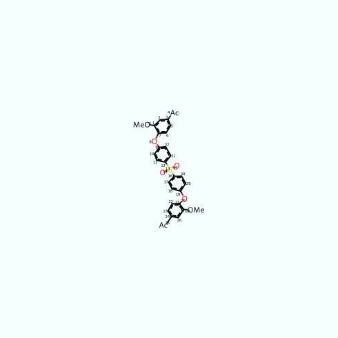 COc1cc(C(C)=O)ccc1Oc1ccc(S(=O)(=O)c2ccc(Oc3ccc(C(C)=O)cc3OC)cc2)cc1